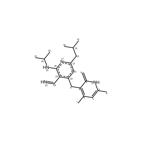 C=C1NC(C)=CC(C)=C1Cc1cc(CC(C)C)nc(NC(C)C)c1C=N